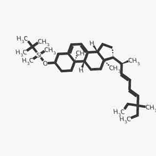 CCC(C)(/C=C/C=C/[C@H](C)[C@H]1CC[C@H]2C3=CC=C4CC(O[Si](C)(C)C(C)(C)C)CC[C@]4(C)[C@H]3CC[C@]12C)CC